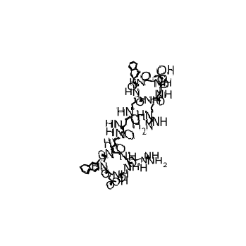 N=C(N)NCCC[C@@H]1NC(=O)/C(=C\CCCNC(=O)C(=N)CCC(=O)NCCCC[C@@H]2NC(=O)/C(=C/c3ccc4ccccc4c3)NC(=O)[C@H](CC(=O)O)NC(=O)CNC(=O)[C@H](CCCNC(=N)N)NC2=O)NC(=O)[C@@H](Cc2ccc3ccccc3c2)NC(=O)[C@H](CC(=O)O)NC(=O)CNC1=O